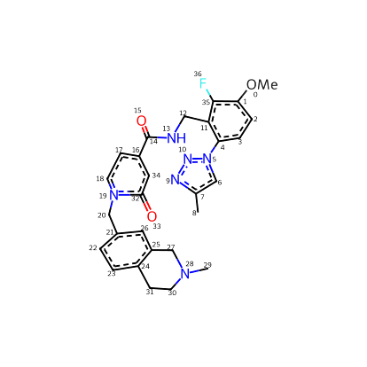 COc1ccc(-n2cc(C)nn2)c(CNC(=O)c2ccn(Cc3ccc4c(c3)CN(C)CC4)c(=O)c2)c1F